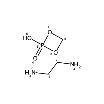 NCCN.O=P1(O)OCO1